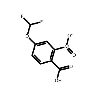 O=C(O)c1ccc(OC(F)F)cc1[N+](=O)[O-]